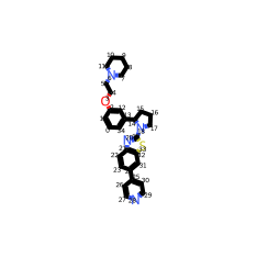 c1cc(OCCN2CCCCC2)cc(C2CCCN2c2nc3ccc(-c4ccncc4)cc3s2)c1